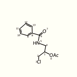 CC(=O)OC(CCl)CNC(=O)c1ccccc1